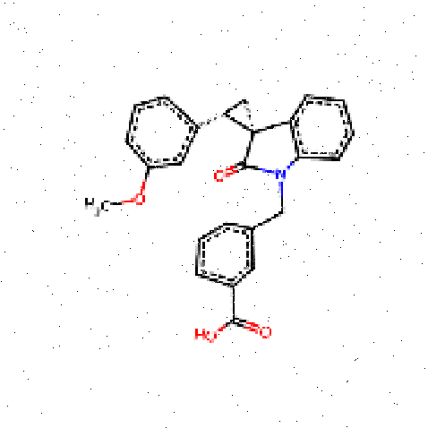 COc1cccc([C@@H]2C[C@]23C(=O)N(Cc2cccc(C(=O)O)c2)c2ccccc23)c1